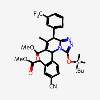 COC(=O)Cc1cc(C#N)ccc1C1C(C(=O)OC)=C(C)C(c2cccc(C(F)(F)F)c2)c2nnc(O[Si](C)(C)C(C)(C)C)n21